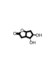 O=C1CC2C(C[C@@H](O)[C@@H]2O)O1